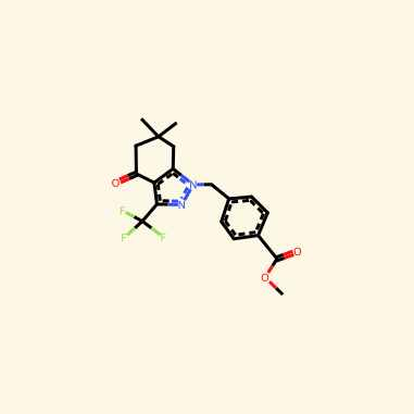 COC(=O)c1ccc(Cn2nc(C(F)(F)F)c3c2CC(C)(C)CC3=O)cc1